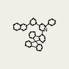 c1ccc(-c2cc(-c3cccc(-c4ccc5ccccc5c4)c3)cc(-c3cccc4c3-c3ccccc3C43c4ccccc4-c4ccccc43)n2)cc1